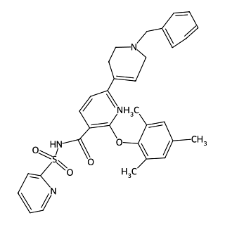 Cc1cc(C)c(Oc2nc(C3=CCN(Cc4ccccc4)CC3)ccc2C(=O)NS(=O)(=O)c2ccccn2)c(C)c1